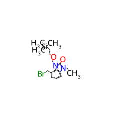 CCn1c(=O)n(COCC[Si](C)(C)C)c2c(CBr)cccc21